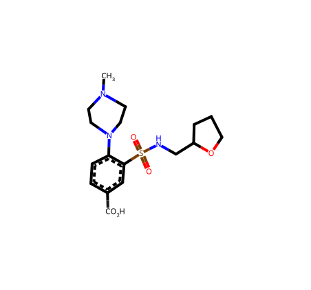 CN1CCN(c2ccc(C(=O)O)cc2S(=O)(=O)NCC2CCCO2)CC1